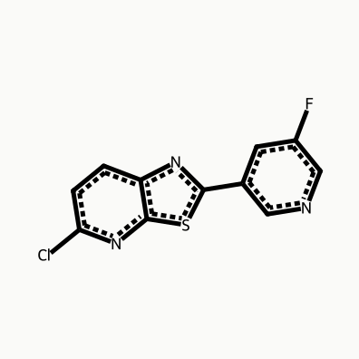 Fc1cncc(-c2nc3ccc(Cl)nc3s2)c1